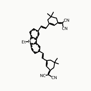 CCn1c2ccc(C=CC3=CC(=C(C#N)C#N)CC(C)(C)C3)cc2c2cc(C=CC3=CC(=C(C#N)C#N)CC(C)(C)C3)ccc21